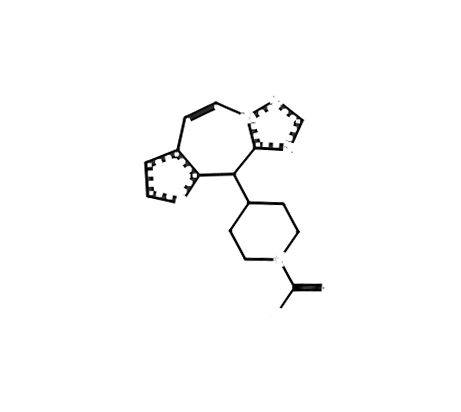 O=C(O)N1CCC(C2c3sccc3C=Cn3ncnc32)CC1